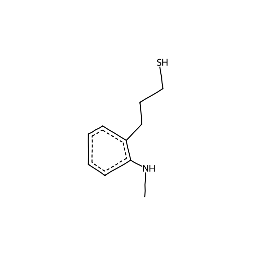 CNc1ccccc1CCCS